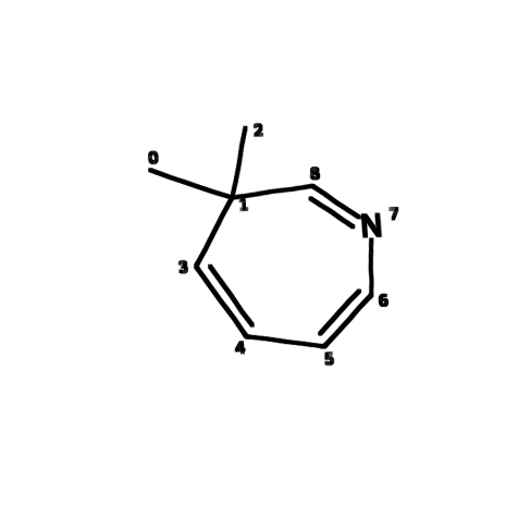 CC1(C)C=CC=CN=C1